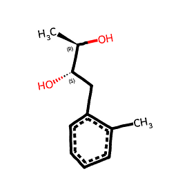 Cc1ccccc1C[C@H](O)[C@@H](C)O